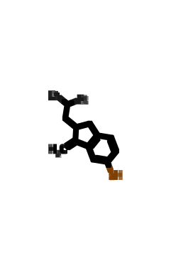 C=C1c2cc(S)ccc2CC1CC(CC)CC